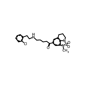 CN1c2cc(C(=O)CCCCNCCc3ccccc3Cl)cc3c2N(CCC3)S1(=O)=O